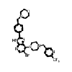 FC(F)(F)c1ccc(CN2CCN(c3c(Br)cnc4[nH]c(-c5ccc(CN6CCOCC6)cc5)nc34)CC2)cn1